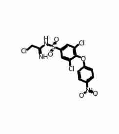 N=C(CCl)NS(=O)(=O)c1cc(Cl)c(Oc2ccc([N+](=O)[O-])cc2)c(Cl)c1